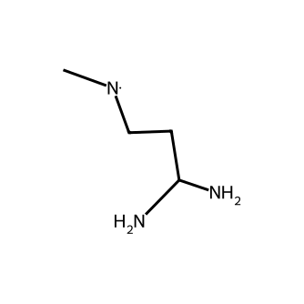 C[N]CCC(N)N